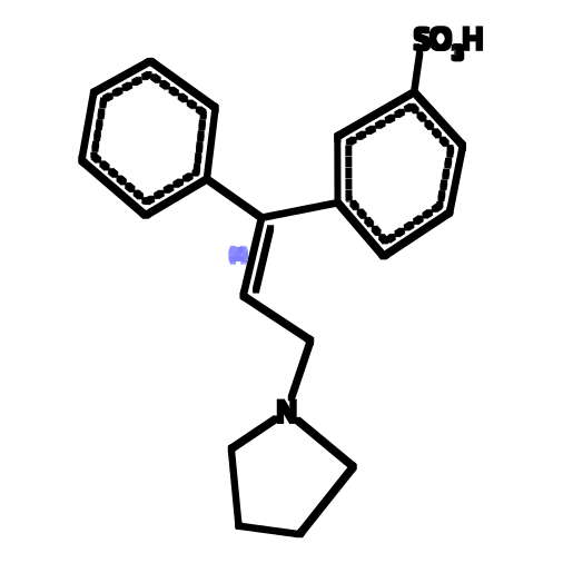 O=S(=O)(O)c1cccc(/C(=C\CN2CCCC2)c2ccccc2)c1